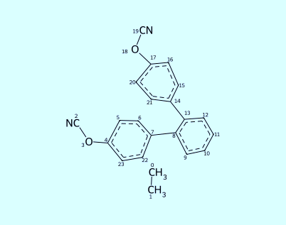 CC.N#COc1ccc(-c2ccccc2-c2ccc(OC#N)cc2)cc1